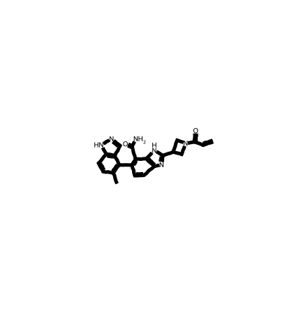 C=CC(=O)N1CC(c2nc3ccc(-c4c(C)ccc5[nH]ncc45)c(C(N)=O)c3[nH]2)C1